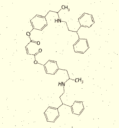 CC(Cc1ccc(OC(=O)/C=C\C(=O)Oc2ccc(CC(C)NCCC(c3ccccc3)c3ccccc3)cc2)cc1)NCCC(c1ccccc1)c1ccccc1